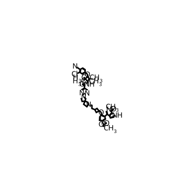 CCS(=O)(=O)c1ccc(OC2CC(CCN3CCC4(CCN(c5ncc(C(=O)NC6C(C)(C)C(Oc7ccc(C#N)c(Cl)c7)C6(C)C)cn5)C4)C3)C2)c(-c2cn(C)c(=O)c3[nH]ccc23)c1